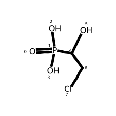 O=P(O)(O)C(O)CCl